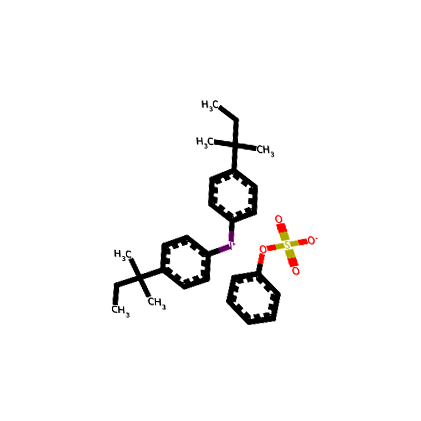 CCC(C)(C)c1ccc([I+]c2ccc(C(C)(C)CC)cc2)cc1.O=S(=O)([O-])Oc1ccccc1